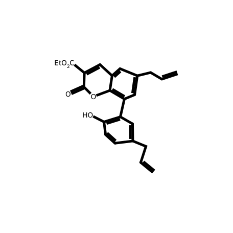 C=CCc1ccc(O)c(-c2cc(CC=C)cc3cc(C(=O)OCC)c(=O)oc23)c1